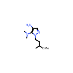 COC(C)CCn1ncc(N)c1N(C)C